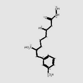 O=C(CC(S)CCCC(Cc1cccc(C(=O)O)c1)C(=O)O)NO